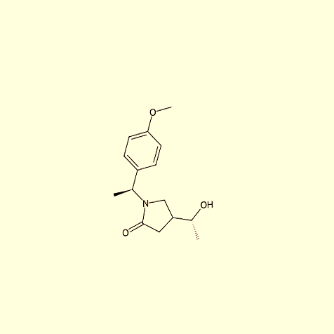 COc1ccc([C@H](C)N2CC([C@@H](C)O)CC2=O)cc1